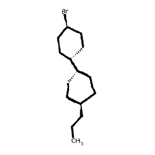 CCC[C@H]1CC[C@H]([C@H]2CC[C@H](Br)CC2)CC1